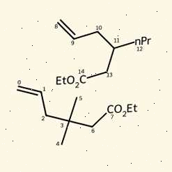 C=CCC(C)(C)CC(=O)OCC.C=CCC(CCC)CC(=O)OCC